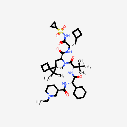 CCN1CCC[C@@H](C(=O)N[C@H](C(=O)N[C@H](C(=O)N2C[C@]3(C[C@H]2C(=O)N[C@@H](CC2CCC2)C(=O)NS(=O)(=O)C2CC2)C(C)(C)C32CCC2)C(C)(C)C)C2CCCCC2)C1